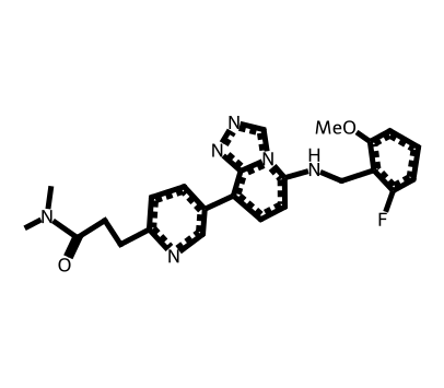 COc1cccc(F)c1CNc1ccc(-c2ccc(CCC(=O)N(C)C)nc2)c2nncn12